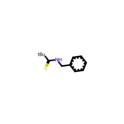 CC(C)(C)C(=S)NCc1ccccc1